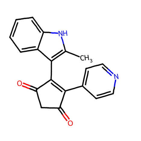 Cc1[nH]c2ccccc2c1C1=C(c2ccncc2)C(=O)CC1=O